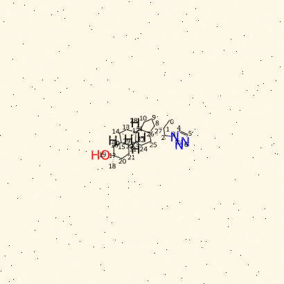 CC(Cn1ccnn1)[C@H]1CC[C@H]2[C@@H]3CC[C@@H]4C[C@](C)(O)CC[C@@H]4[C@H]3CC[C@]12C